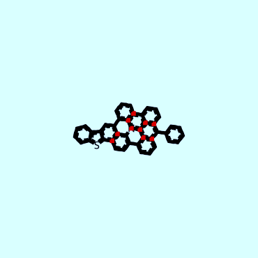 c1ccc(-c2ccc(N(c3ccccc3-c3ccc4sc5ccccc5c4c3)c3ccccc3-c3ccccc3-c3cccc4ccccc34)cc2)cc1